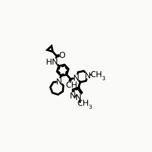 C=C(c1ccc(NC(=O)C2CC2)cc1N1CCCCCC1)N1CCN(C)CC1c1cnn(C)c1